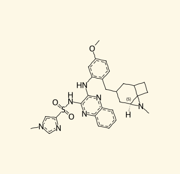 COc1ccc(CC2CC3CCC34[C@H](C2)N4C)c(Nc2nc3ccccc3nc2NS(=O)(=O)c2cn(C)cn2)c1